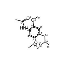 COc1cc(NC(C)=O)c(OC)cc1CC(C)N